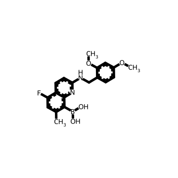 COc1ccc(CNc2ccc3c(F)cc(C)c(B(O)O)c3n2)c(OC)c1